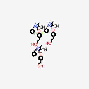 Cc1nn(Cc2ccccc2)c(COc2c(F)cc(CCCO)cc2F)c1C#N.Cc1nn(Cc2ccccc2)c(COc2ccc(CCCO)cc2)c1C#N.Cc1nn(Cc2ccccc2)c(COc2ccc(CCO)cc2)c1C#N